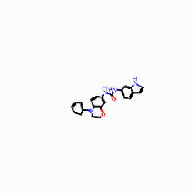 O=C(Nc1ccc2c(c1)OCCN2c1ccccc1)Nc1ccc2cc[nH]c2c1